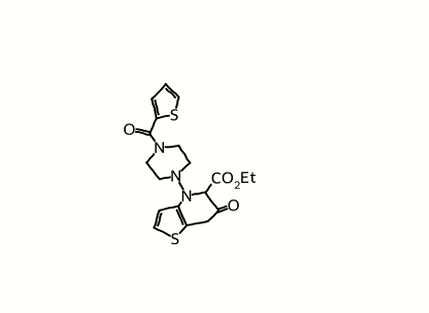 CCOC(=O)C1C(=O)Cc2sccc2N1N1CCN(C(=O)c2cccs2)CC1